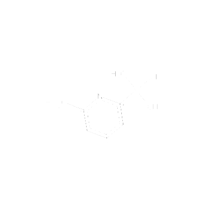 CS(C)(C)c1cccc(C(=O)O)n1